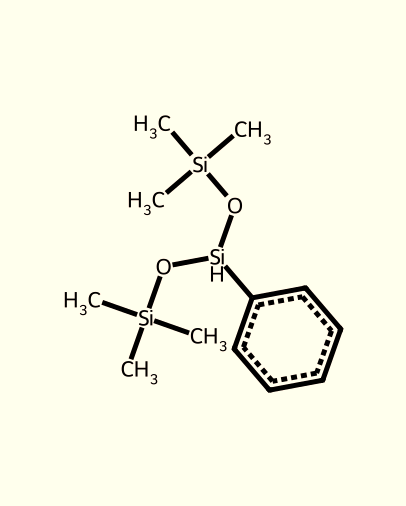 C[Si](C)(C)O[SiH](O[Si](C)(C)C)c1ccccc1